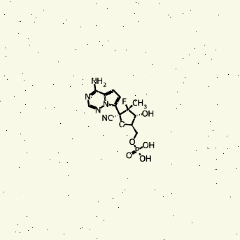 C[C@@]1(F)[C@H](O)[C@@H](COP(=O)(O)O)O[C@@]1(C#N)c1ccc2c(N)ncnn12